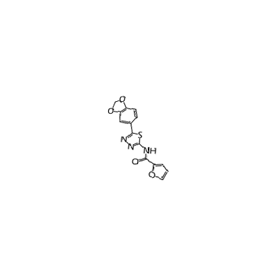 O=C(Nc1nnc(-c2ccc3c(c2)OCO3)s1)c1ccco1